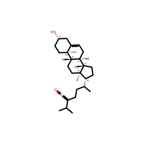 CC(C)C(=C=O)CCC(C)[C@H]1CC[C@H]2[C@@H]3CC=C4C[C@@H](O)CC[C@]4(C)[C@H]3CC[C@]12C